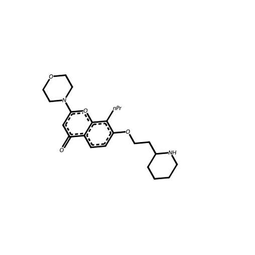 CCCc1c(OCCC2CCCCN2)ccc2c(=O)cc(N3CCOCC3)oc12